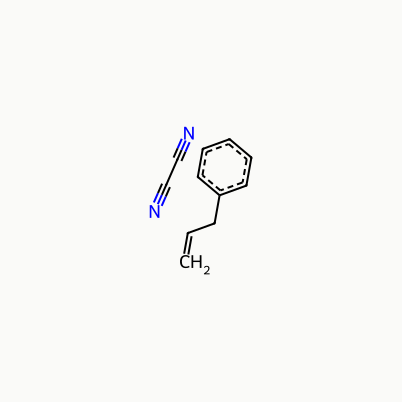 C=CCc1ccccc1.N#CC#N